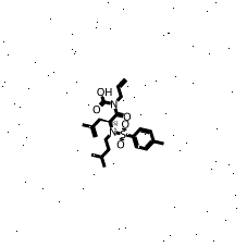 C=CCN(C(=O)O)C(=O)[C@H](CC(=C)C)N(CCC(C)C)S(=O)(=O)c1ccc(C)cc1